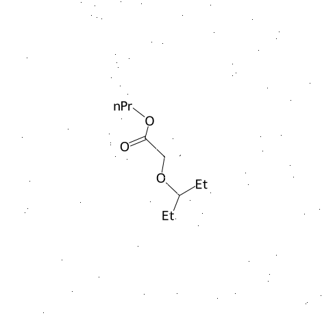 CCCOC(=O)COC(CC)CC